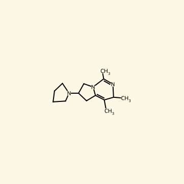 CC1=NC(C)C(C)=C2CC(N3CCCC3)CN12